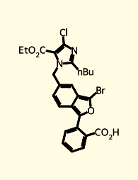 CCCCc1nc(Cl)c(C(=O)OCC)n1Cc1ccc2c(-c3ccccc3C(=O)O)oc(Br)c2c1